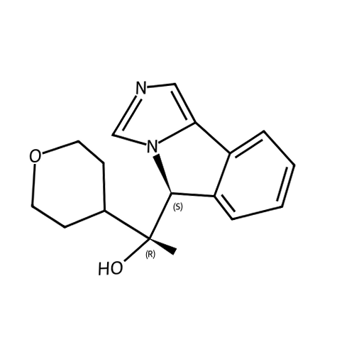 C[C@@](O)(C1CCOCC1)[C@@H]1c2ccccc2-c2cncn21